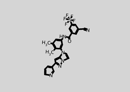 Cc1cc(NC(=O)c2cc(C#N)cc(S(F)(F)(F)(F)F)c2)cc(-n2ccn3nc(-c4cccnc4)cc23)c1C